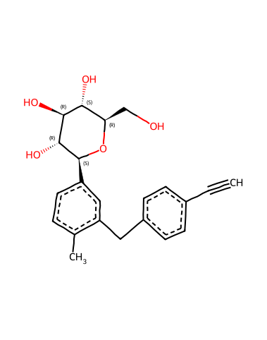 C#Cc1ccc(Cc2cc([C@@H]3O[C@H](CO)[C@@H](O)[C@H](O)[C@H]3O)ccc2C)cc1